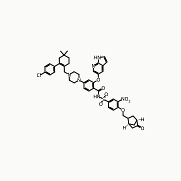 CC1(C)CCC(CN2CCN(c3ccc(C(=O)NS(=O)(=O)c4ccc(OCC5C[C@@H]6C[C@H]5CC6=O)c([N+](=O)[O-])c4)c(Oc4cnc5[nH]ccc5c4)c3)CC2)=C(c2ccc(Cl)cc2)C1